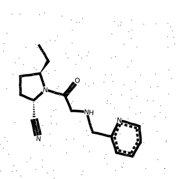 CC[C@@H]1CC[C@@H](C#N)N1C(=O)CNCc1ccccn1